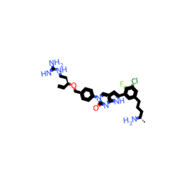 C=C[C@@H](CCNC(=N)N)OCc1ccc(-n2cc3cc(-c4cc(CCC[C@H](C)N)cc(Cl)c4F)[nH]c3nc2=O)cc1